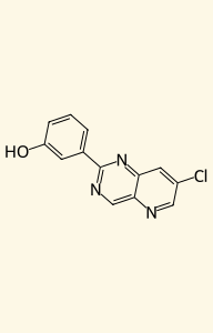 Oc1cccc(-c2ncc3ncc(Cl)cc3n2)c1